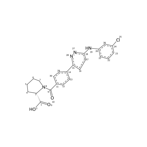 O=C(O)[C@@H]1CCCCN1C(=O)c1ccc(-c2ccc(Nc3cccc(Cl)c3)nn2)cc1